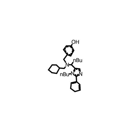 CCCCC(c1cnc(C2=CCCC=C2)n1CCCC)N(Cc1ccc(O)cc1)CC1CCCCC1